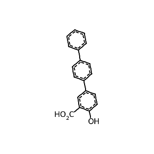 O=C(O)c1cc(-c2ccc(-c3ccccc3)cc2)ccc1O